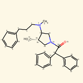 CN(CCCc1ccccc1)C1CN(C(=O)C(c2ccccc2)c2ccccc2)C[C@@H]1C(=O)O